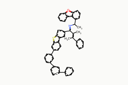 CC(/C(=N\C(C)c1cccc2oc3ccccc3c12)c1ccc2sc3cc(-c4cccc(-c5cccc(-c6ccccc6)c5)c4)ccc3c2c1)=C(/C)c1ccccc1